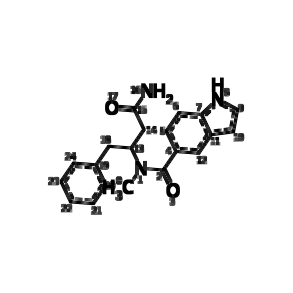 CN(C(=O)c1ccc2[nH]ccc2c1)C(CC(N)=O)Cc1ccccc1